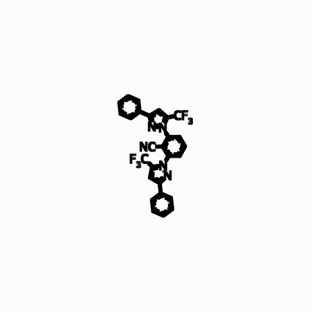 N#Cc1c(-n2nc(-c3ccccc3)cc2C(F)(F)F)cccc1-n1nc(-c2ccccc2)cc1C(F)(F)F